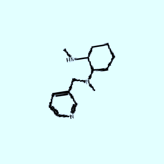 CNC1CCCCC1N(C)Cc1cccnc1